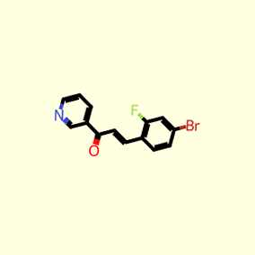 O=C(C=Cc1ccc(Br)cc1F)c1cccnc1